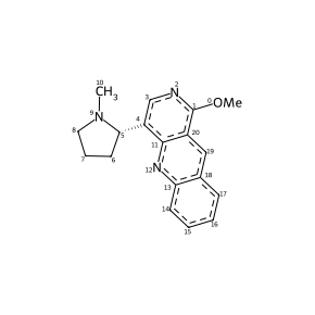 COc1ncc([C@@H]2CCCN2C)c2nc3ccccc3cc12